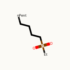 [CH2]CS(=O)(=O)CCCCCCCCC